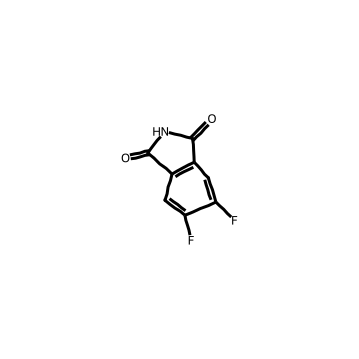 O=C1NC(=O)c2cc(F)c(F)cc21